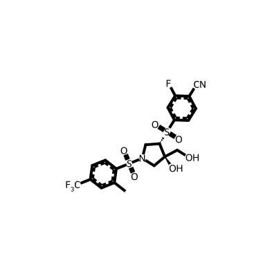 Cc1cc(C(F)(F)F)ccc1S(=O)(=O)N1C[C@H](S(=O)(=O)c2ccc(C#N)c(F)c2)[C@](O)(CO)C1